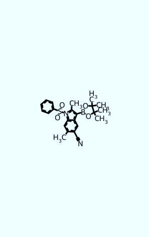 Cc1cc2c(cc1C#N)c(B1OC(C)(C)C(C)(C)O1)c(C)n2S(=O)(=O)c1ccccc1